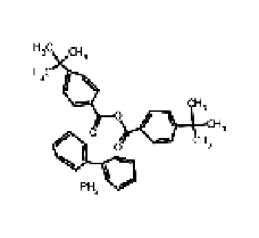 CC(C)(C)c1ccc(C(=O)OC(=O)c2ccc(C(C)(C)C)cc2)cc1.P.c1ccc(-c2ccccc2)cc1